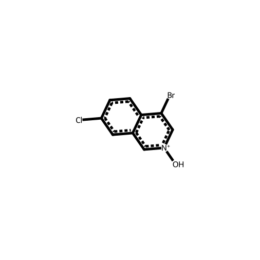 O[n+]1cc(Br)c2ccc(Cl)cc2c1